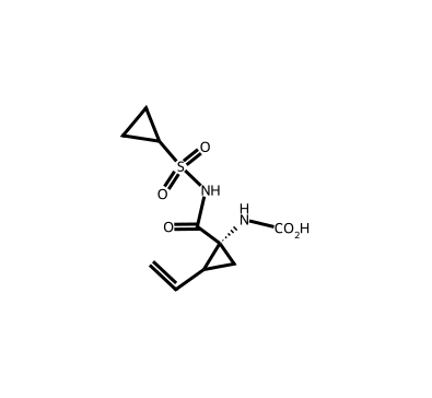 C=CC1C[C@]1(NC(=O)O)C(=O)NS(=O)(=O)C1CC1